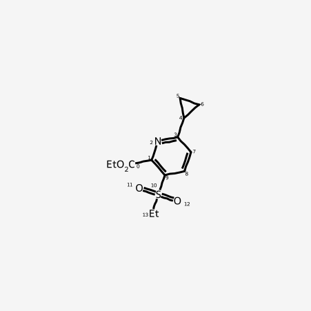 CCOC(=O)c1nc(C2CC2)ccc1S(=O)(=O)CC